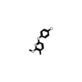 COc1nc(Oc2ccc(Cl)cc2)ccc1C